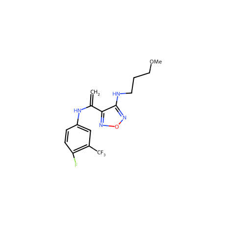 C=C(Nc1ccc(F)c(C(F)(F)F)c1)c1nonc1NCCCOC